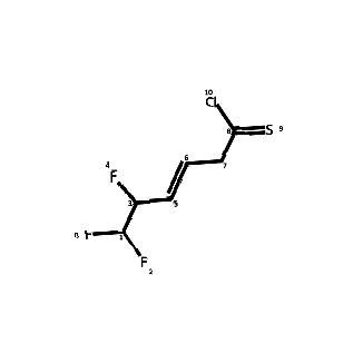 FC(F)C(F)C=CCC(=S)Cl